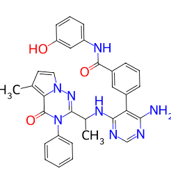 Cc1ccn2nc(C(C)Nc3ncnc(N)c3-c3cccc(C(=O)Nc4cccc(O)c4)c3)n(-c3ccccc3)c(=O)c12